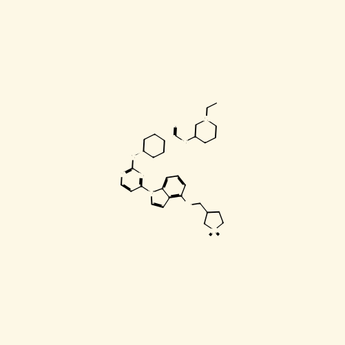 CCN1CCCC(NC(=O)[C@H]2CC[C@H](Nc3nccc(-n4ccc5c(OCC6CCS(=O)(=O)C6)cccc54)n3)CC2)C1